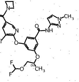 C[C@@H](COC(F)F)Oc1cc(Oc2ncc(C(=O)N3CCC3)cc2Cl)cc(C(=O)Nc2ccn(C)n2)c1